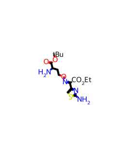 CCOC(=O)C(=NOCCC(N)C(=O)OC(C)(C)C)c1csc(N)n1